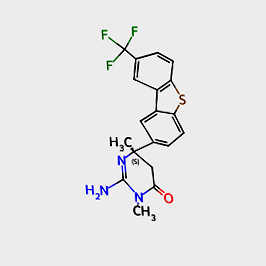 CN1C(=O)C[C@@](C)(c2ccc3sc4ccc(C(F)(F)F)cc4c3c2)N=C1N